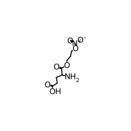 NC(CCC(=O)O)C(=O)OCCCO[N+](=O)[O-]